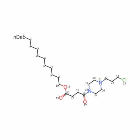 CCCCCCCCCCCCCCCCCCCCOC(=O)CCC(=O)N1CCN(CCCCl)CC1